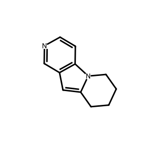 c1cc2c(cn1)cc1n2CCCC1